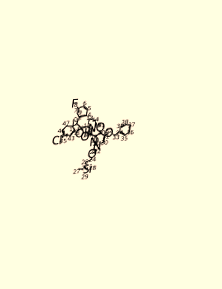 CC1([C@@H](c2cccc(F)c2)[C@@H](O)[C@H]2CCCN2C(=O)c2nn(COCC[Si](C)(C)C)cc(OCc3ccccc3)c2=O)C=CC(Cl)=CC1